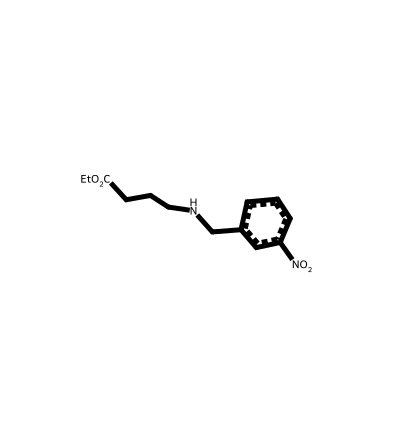 CCOC(=O)CCCNCc1cccc([N+](=O)[O-])c1